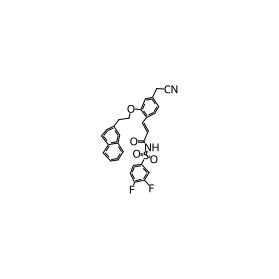 N#CCc1ccc(C=CC(=O)NS(=O)(=O)c2ccc(F)c(F)c2)c(OCCc2ccc3ccccc3c2)c1